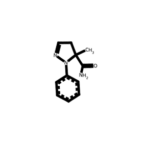 CC1(C(N)=O)CC=NN1c1ccccc1